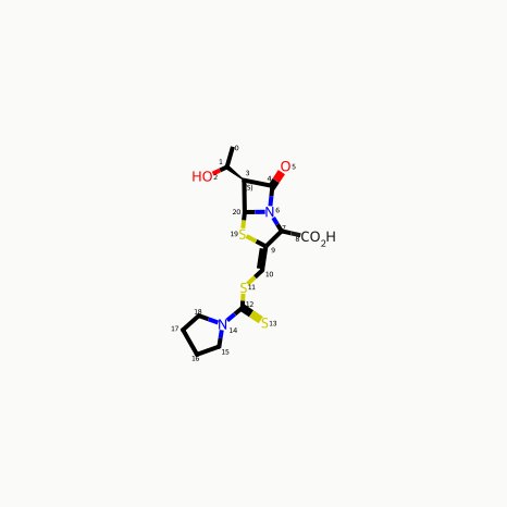 CC(O)[C@H]1C(=O)N2C(C(=O)O)C(=CSC(=S)N3CCCC3)SC12